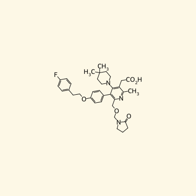 Cc1nc(COCN2CCCC2=O)c(-c2ccc(OCCc3ccc(F)cc3)cc2)c(N2CCC(C)(C)CC2)c1CC(=O)O